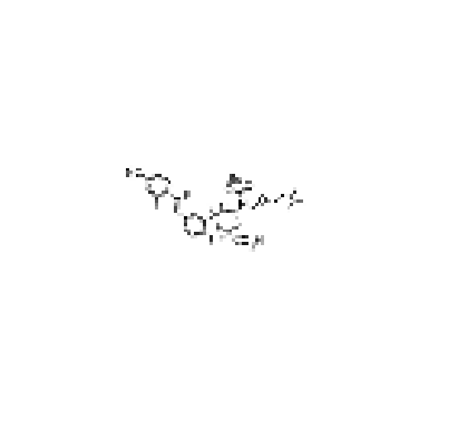 Cc1cc(C#N)cnc1C(F)=Cc1ccc(F)c(C2(C)N=C(N(COCC[Si](C)(C)C)C(=O)OC(C)(C)C)SC3(C(=O)O)CC32)c1